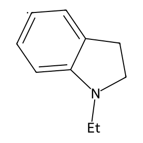 CCN1CCc2c[c]ccc21